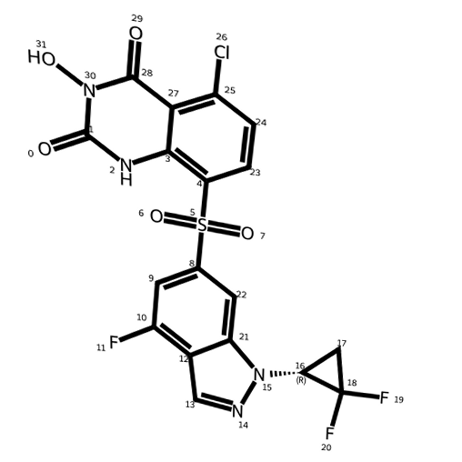 O=c1[nH]c2c(S(=O)(=O)c3cc(F)c4cnn([C@@H]5CC5(F)F)c4c3)ccc(Cl)c2c(=O)n1O